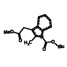 COC(=O)Cc1c(C)n(C(=O)OC(C)(C)C)c2ccccc12